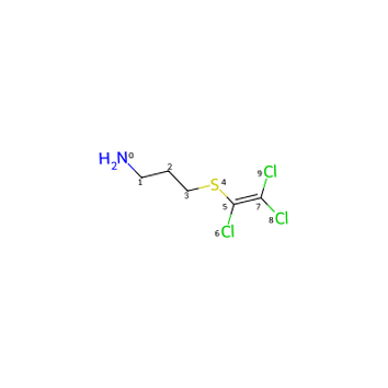 NCCCSC(Cl)=C(Cl)Cl